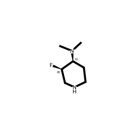 CN(C)[C@H]1CCNC[C@H]1F